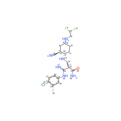 N#C[C@H]1C[C@@H](NCC(F)F)CC[C@@H]1N/C=C(\C(=N)Nc1ccc(Cl)c(F)c1)C(N)=O